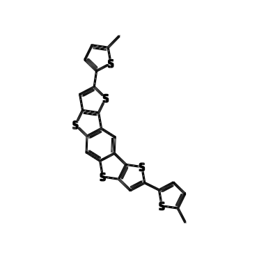 Cc1ccc(-c2cc3sc4cc5sc6cc(-c7ccc(C)s7)sc6c5cc4c3s2)s1